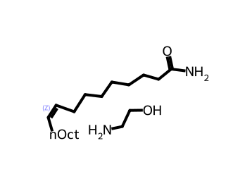 CCCCCCCC/C=C\CCCCCCCC(N)=O.NCCO